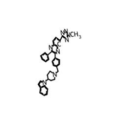 Cn1nnc(-c2ccc3nc(-c4ccccc4)c(-c4ccc(CN5CCC(n6ccc7ccccc76)CC5)cc4)nc3c2)n1